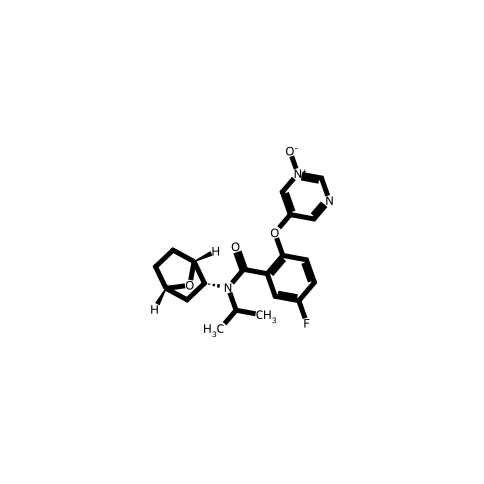 CC(C)N(C(=O)c1cc(F)ccc1Oc1cnc[n+]([O-])c1)[C@@H]1C[C@@H]2CC[C@H]1O2